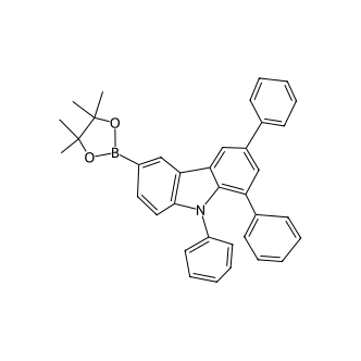 CC1(C)OB(c2ccc3c(c2)c2cc(-c4ccccc4)cc(-c4ccccc4)c2n3-c2ccccc2)OC1(C)C